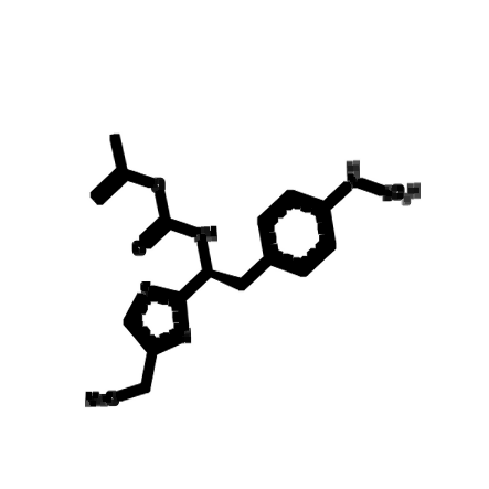 C=C(C)OC(=O)N[C@@H](Cc1ccc(NS(=O)(=O)O)cc1)c1nc(COC)cs1